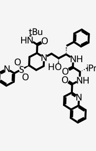 CC(C)[C@H](NC(=O)c1ccc2ccccc2n1)C(=O)N[C@@H](Cc1ccccc1)[C@H](O)CN1CC[C@@H](S(=O)(=O)c2ccccn2)CC1C(=O)NC(C)(C)C